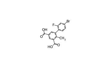 Cc1c(C(=O)O)cc(C(=O)O)cc1-c1ccc(Br)cc1F